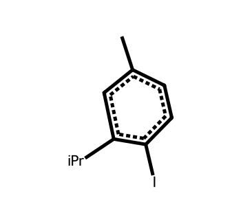 [CH2]C(C)c1cc(C)ccc1I